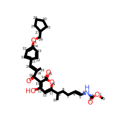 COC(=O)N/C=C/CCC(C)c1cc(O)c(C(=O)/C(C)=C/c2ccc(OCC3CCCC3)cc2)c(=O)o1